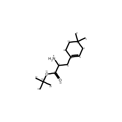 CC1(C)CC=C(CC(N)C(=O)OC(C)(C)C)CC1